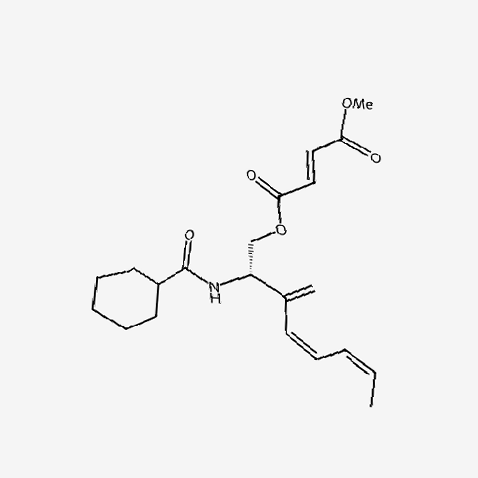 C=C(/C=C\C=C/C)[C@@H](COC(=O)/C=C/C(=O)OC)NC(=O)C1CCCCC1